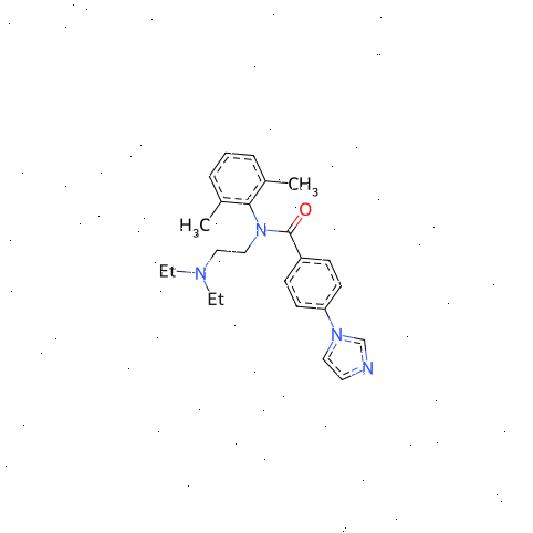 CCN(CC)CCN(C(=O)c1ccc(-n2ccnc2)cc1)c1c(C)cccc1C